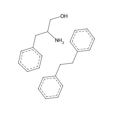 NC(CO)Cc1ccccc1.c1ccc(CCc2ccccc2)cc1